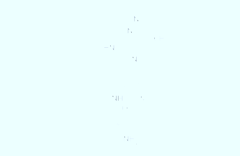 CCn1nccc1Nc1cc(NCc2ccccc2C(N)=O)c(Cl)cn1